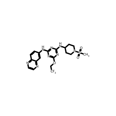 CS(=O)(=O)N1CCC(Nc2nc(Nc3ccc4nccnc4c3)nc(OCC(F)(F)F)n2)CC1